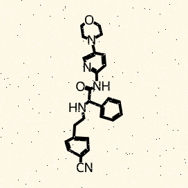 N#Cc1ccc(CCNC(C(=O)Nc2ccc(N3CCOCC3)cn2)c2ccccc2)cc1